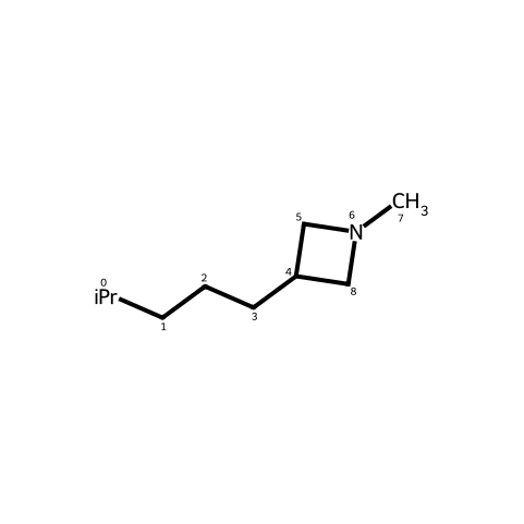 CC(C)CCCC1CN(C)C1